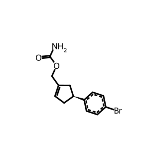 NC(=O)OCC1=CC[C@H](c2ccc(Br)cc2)C1